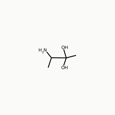 CC(N)C(C)(O)O